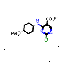 CCOC(=O)c1cnc(Cl)nc1N[C@H]1CC[C@@H](OC)CC1